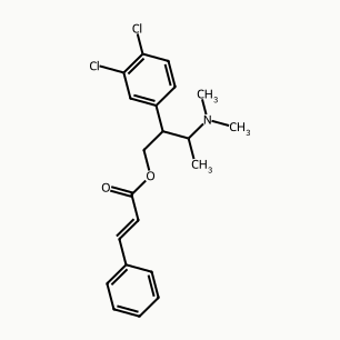 CC(C(COC(=O)C=Cc1ccccc1)c1ccc(Cl)c(Cl)c1)N(C)C